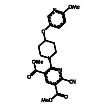 COC(=O)c1cc(C(=O)OC)c(N2CCC(Oc3ccc(OC)nc3)CC2)nc1C#N